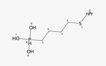 CCCSCCCC[PH](O)(O)O